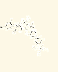 CC(C)(O)Cc1ccc(-c2ccc([C@H](N[C@@H](CC(C)(C)F)C(=O)N[C@H](C#N)Cc3ccc(C#N)cc3F)C(F)(F)F)cc2)cc1